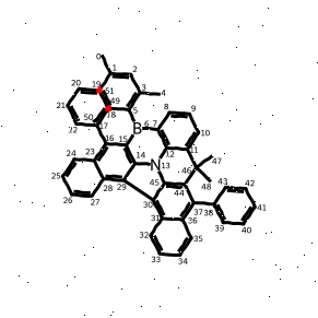 Cc1cc(C)c(B2c3cccc4c3-n3c5c2c(-c2ccccc2)c2ccccc2c5c2c5ccccc5c(-c5ccccc5)c(c23)C4(C)C)c(C)c1